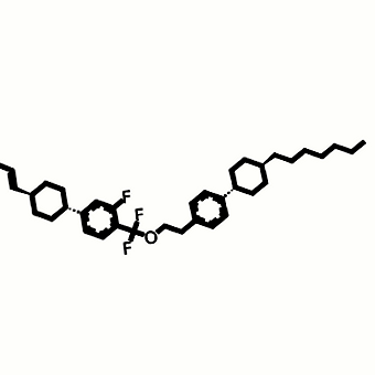 C/C=C/[C@H]1CC[C@H](c2ccc(C(F)(F)OCCc3ccc([C@H]4CC[C@H](CCCCCCC)CC4)cc3)c(F)c2)CC1